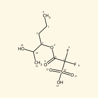 CCCC(OC(=O)C(F)(F)S(=O)(=O)O)C(C)O